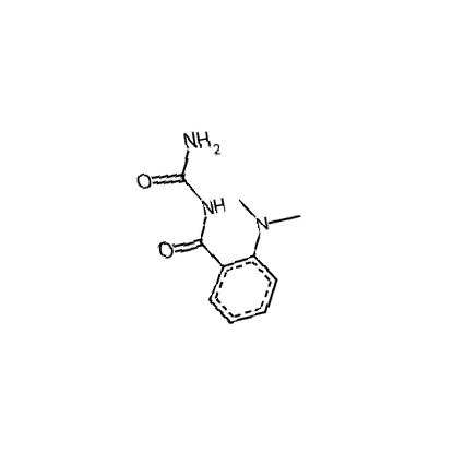 CN(C)c1ccccc1C(=O)NC(N)=O